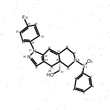 [O-][S+](c1ccccc1)N1CCC2=Cc3c(cnn3-c3ccc(F)cc3)C[C@]2(CO)C1